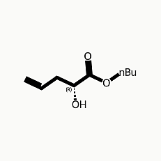 C=CC[C@@H](O)C(=O)OCCCC